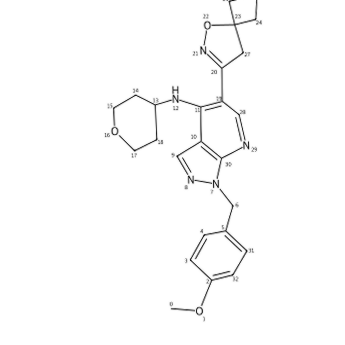 COc1ccc(Cn2ncc3c(NC4CCOCC4)c(C4=NOC5(CCC5)C4)cnc32)cc1